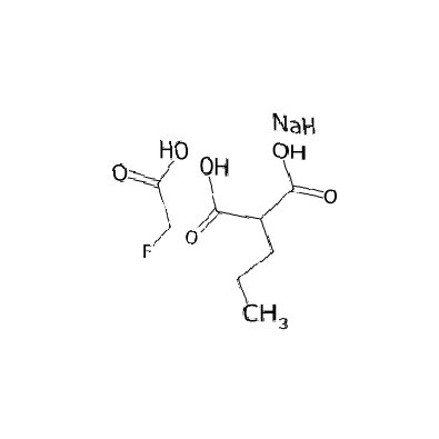 CCCC(C(=O)O)C(=O)O.O=C(O)CF.[NaH]